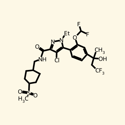 CCn1nc(C(=O)NCC2CCC(S(C)(=O)=O)CC2)c(Cl)c1-c1ccc(C(C)(O)CC(F)(F)F)cc1OC(F)F